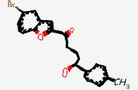 Cc1ccc(C(=O)CCC(=O)c2cc3cc(Br)ccc3o2)cc1